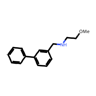 COCCNCc1cccc(-c2cc[c]cc2)c1